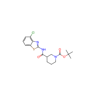 CC(C)(C)OC(=O)N1CCCC(C(=O)Nc2nc3c(Cl)cccc3s2)C1